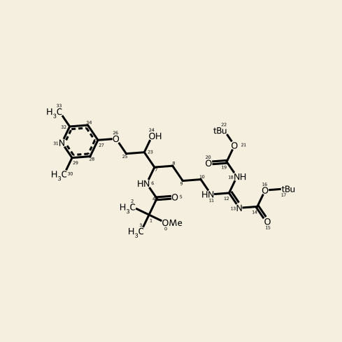 COC(C)(C)C(=O)NC(CCCNC(=NC(=O)OC(C)(C)C)NC(=O)OC(C)(C)C)C(O)COc1cc(C)nc(C)c1